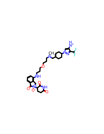 CN(CCCOCCCNc1cccc2c1C[N+]([O-])(C1CCC(=O)NC1=O)C2=O)CC1CCC(n2cc(N)c(C(F)F)n2)CC1